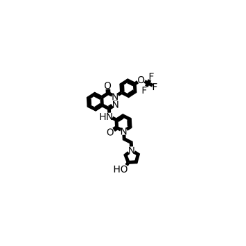 O=c1c(Nc2nn(-c3ccc(OC(F)(F)F)cc3)c(=O)c3ccccc23)cccn1CCN1CCC(O)C1